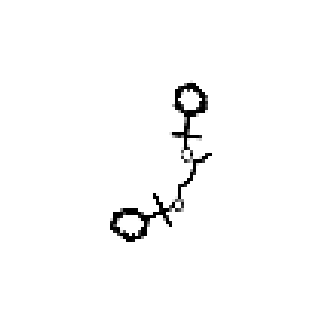 CC(C[CH]OC(C)(C)c1ccccc1)OC(C)(C)c1ccccc1